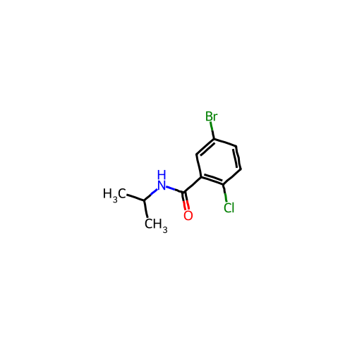 CC(C)NC(=O)c1cc(Br)ccc1Cl